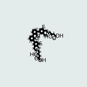 O=C(O)CC(O)CN1CCc2cc(-c3cccc(-c4cccc(-c5cc(F)c6c(c5)CCN(CC(O)CC(=O)O)C6)c4Cl)c3Cl)cc(F)c2C1